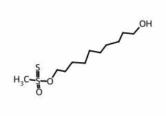 CS(=O)(=S)OCCCCCCCCCCO